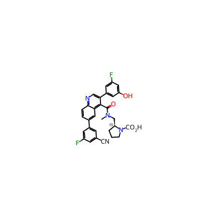 CN(C[C@@H]1CCCN1C(=O)O)C(=O)c1c(-c2cc(O)cc(F)c2)cnc2ccc(-c3cc(F)cc(C#N)c3)cc12